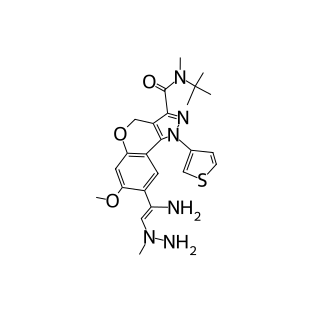 COc1cc2c(cc1/C(N)=C/N(C)N)-c1c(c(C(=O)N(C)C(C)(C)C)nn1-c1ccsc1)CO2